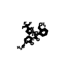 CCc1ccccc1NC(=O)[C@H]1C(=O)N(C)C[C@@H]1c1cc(C(F)(F)F)nn1C